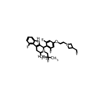 CC1Cc2c([nH]c3cccc(F)c23)C(c2c(F)cc(OCCN3CC(CF)C3)cc2F)N1CC(C)(C)F